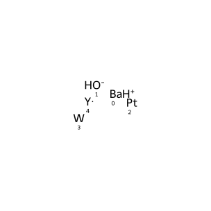 [BaH+].[OH-].[Pt].[W].[Y]